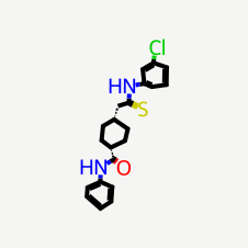 O=C(Nc1ccccc1)[C@H]1CC[C@@H](CC(=S)Nc2cccc(Cl)c2)CC1